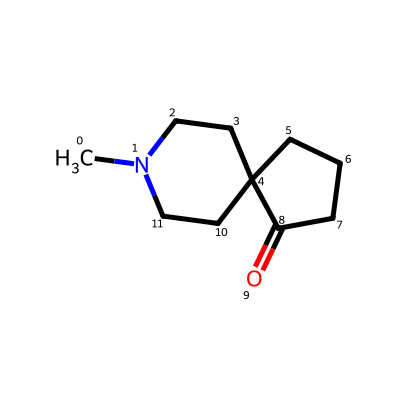 CN1CCC2(CCCC2=O)CC1